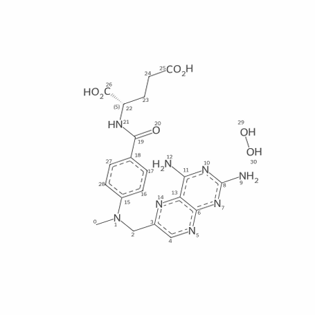 CN(Cc1cnc2nc(N)nc(N)c2n1)c1ccc(C(=O)N[C@@H](CCC(=O)O)C(=O)O)cc1.OO